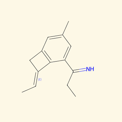 C/C=C1\Cc2cc(C)cc(C(=N)CC)c21